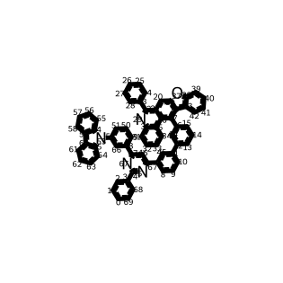 c1ccc(-c2nc(-c3cccc(-c4cccc(-c5c6c(cc7c(-c8ccccc8)nc8ccccc8c57)oc5ccccc56)c4)c3)cc(-c3cccc(-n4c5ccccc5c5ccccc54)c3)n2)cc1